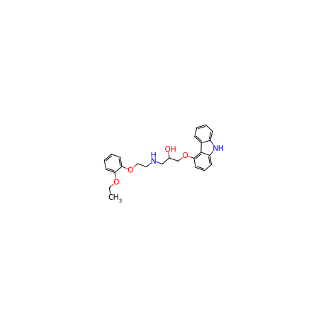 CCOc1ccccc1OCCNCC(O)COc1cccc2[nH]c3ccccc3c12